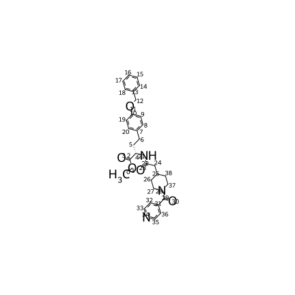 COC(=O)[C@H](CCc1ccc(OCc2ccccc2)cc1)NC(=O)CC1CCN(C(=O)c2ccncc2)CC1